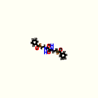 O=C(NCCSC(=O)c1ccccc1)C(=O)NCCSC(=O)c1ccccc1